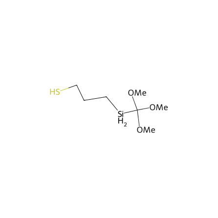 COC(OC)(OC)[SiH2]CCCS